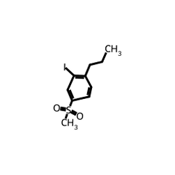 CCCc1ccc(S(C)(=O)=O)cc1I